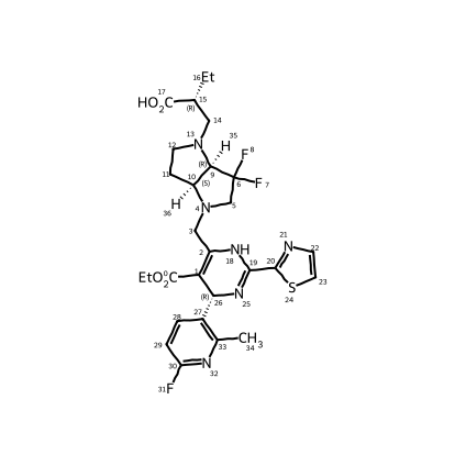 CCOC(=O)C1=C(CN2CC(F)(F)[C@H]3[C@@H]2CCN3C[C@@H](CC)C(=O)O)NC(c2nccs2)=N[C@@H]1c1ccc(F)nc1C